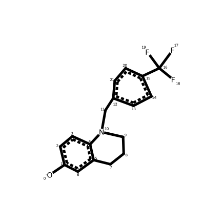 [O]c1ccc2c(c1)CCCN2Cc1ccc(C(F)(F)F)cc1